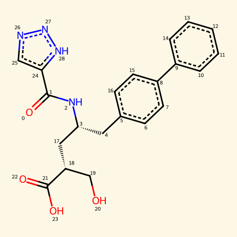 O=C(N[C@H](Cc1ccc(-c2ccccc2)cc1)C[C@H](CO)C(=O)O)c1cnn[nH]1